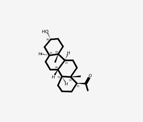 CC(=O)[C@H]1CCC[C@H]2[C@@H]3CC[C@H]4C[C@H](O)CC[C@]4(C)[C@H]3CC[C@]12C